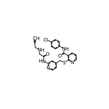 C#CCNCC(=O)Nc1cc(CSc2ncccc2C(=O)Nc2ccc(Cl)cc2)ccn1